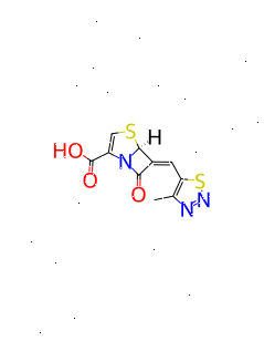 Cc1nnsc1/C=C1\C(=O)N2C(C(=O)O)=CS[C@@H]12